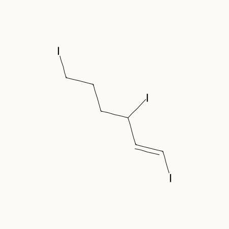 IC=CC(I)CCCI